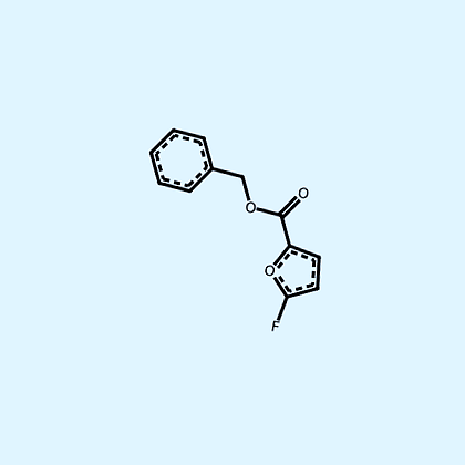 O=C(OCc1ccccc1)c1ccc(F)o1